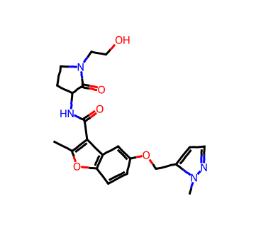 Cc1oc2ccc(OCc3ccnn3C)cc2c1C(=O)NC1CCN(CCO)C1=O